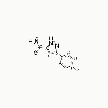 Cc1ccc(-c2cc(C(N)=O)[nH]n2)cc1